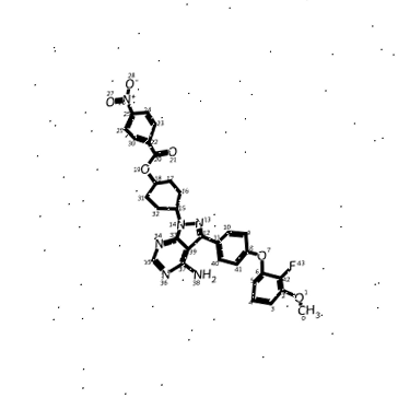 COc1cccc(Oc2ccc(-c3nn(C4CCC(OC(=O)c5ccc([N+](=O)[O-])cc5)CC4)c4ncnc(N)c34)cc2)c1F